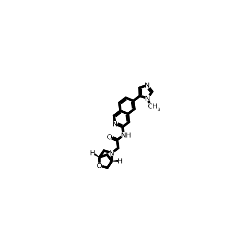 Cn1cncc1-c1ccc2cnc(NC(=O)CN3C[C@@H]4C[C@H]3CO4)cc2c1